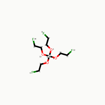 FCCO[Si](OCCF)(OCCF)OCCF